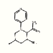 NC(=O)C1C(N)CC(F)CN1c1[c]cncc1